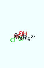 CCO.CO.[Mg+2][Cl].[Mg+2][Cl]